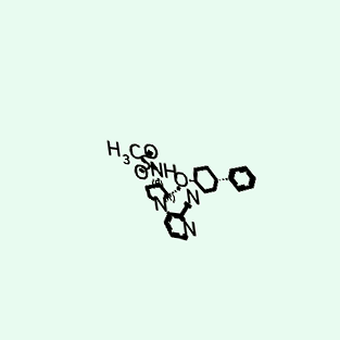 CS(=O)(=O)N[C@H]1CCN(c2cccnc2C#N)[C@H]1CO[C@H]1CC[C@@H](c2ccccc2)CC1